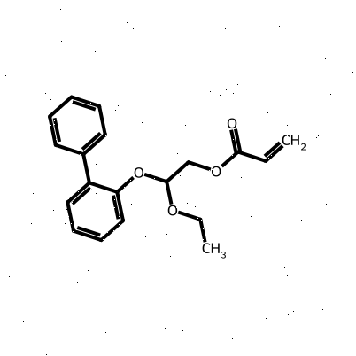 C=CC(=O)OCC(OCC)Oc1ccccc1-c1ccccc1